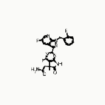 CC1(CC(N)=O)C(=O)Nc2nc(-c3nn(Cc4ccccc4F)c4ncc(F)cc34)nc(I)c21